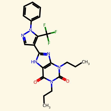 CCCn1c(=O)c2[nH]c(-c3cnn(-c4ccccc4)c3C(F)(F)F)nc2n(CCC)c1=O